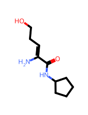 N/C(=C\CCO)C(=O)NC1CCCC1